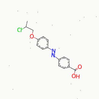 CC(Cl)COc1ccc(N=Nc2ccc(C(=O)O)cc2)cc1